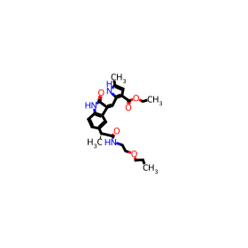 CCCOCCNC(=O)[C@H](C)c1ccc2c(c1)/C(=C/c1[nH]c(C)cc1C(=O)OCC)C(=O)N2